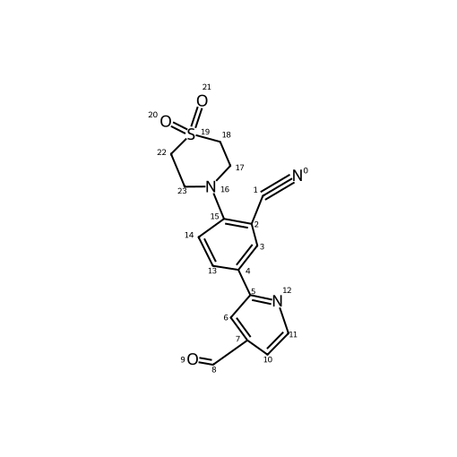 N#Cc1cc(-c2cc(C=O)ccn2)ccc1N1CCS(=O)(=O)CC1